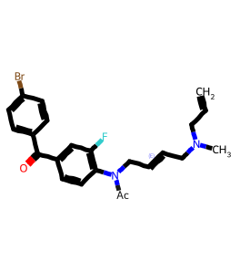 C=CCN(C)C/C=C/CN(C(C)=O)c1ccc(C(=O)c2ccc(Br)cc2)cc1F